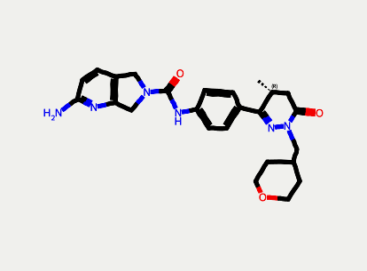 C[C@@H]1CC(=O)N(CC2CCOCC2)N=C1c1ccc(NC(=O)N2Cc3ccc(N)nc3C2)cc1